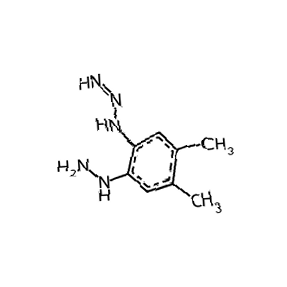 Cc1cc(NN)c(NN=N)cc1C